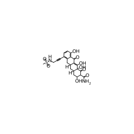 CS(=O)(=O)NCC#Cc1ccc(O)c2c1C[C@H]1C[C@H]3CC(O)C(C(N)=O)C(=O)[C@@]3(O)C(O)=C1C2=O